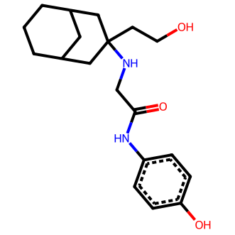 O=C(CNC1(CCO)CC2CCCC(C2)C1)Nc1ccc(O)cc1